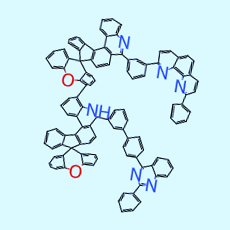 c1ccc(-c2ccc3ccc4ccc(-c5cccc(-c6nc7ccccc7c7c8c(ccc67)C6(c7ccccc7Oc7c(-c9cccc%10c9NC(c9cccc(-c%11ccc(-c%12nc(-c%13ccccc%13)nc%13ccccc%12%13)cc%11)c9)c9ccc%11c(c9-%10)-c9ccccc9C%119c%10ccccc%10Oc%10ccccc%109)cccc76)c6ccccc6-8)c5)nc4c3n2)cc1